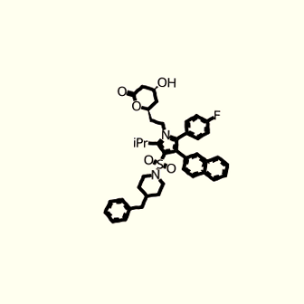 CC(C)c1c(S(=O)(=O)N2CCC(Cc3ccccc3)CC2)c(-c2ccc3ccccc3c2)c(-c2ccc(F)cc2)n1CC[C@@H]1C[C@@H](O)CC(=O)O1